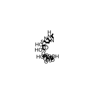 Cc1cnc2cc([C@@H]3O[C@H](COP(=O)(O)OP(=O)(O)OP(=O)(O)O)C(O)[C@@H]3O)c(=S)nc-2[nH]1